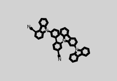 N#Cc1ccc(-c2cccc(-n3c4ccccc4c4c(C#N)cccc43)c2)c(-n2c3ccccc3c3ccc(-n4c5ccccc5c5ccccc54)cc32)c1